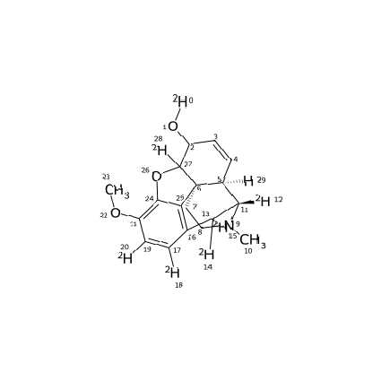 [2H]OC1C=C[C@@H]2[C@@]34CCN(C)[C@]2([2H])C([2H])([2H])c2c([2H])c([2H])c(OC)c(c23)OC14[2H]